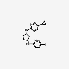 Ic1ccc(N[C@H]2CC[C@H](Nc3ncc(C4CC4)nn3)C2)nc1